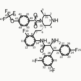 C[C@H]1CNC[C@H](CCc2c(F)cccc2NC(=O)C(N)C(c2ccc(F)cc2)c2cc(F)cc(F)c2)N1S(=O)(=O)c1ccc(OC(F)(F)F)cc1